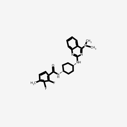 Cc1ccc(C(=O)N[C@H]2CC[C@@H](Nc3nc(N(C)C)c4ccccc4n3)CC2)c(F)c1F